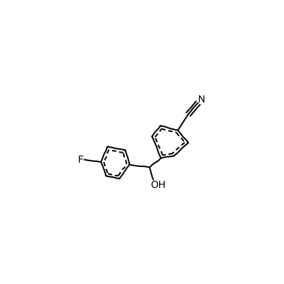 N#Cc1ccc(C(O)c2ccc(F)cc2)cc1